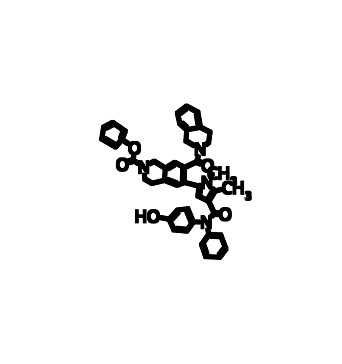 Cc1c(C(=O)N(c2ccccc2)c2ccc(O)cc2)cc(-c2cc3c(cc2C(=O)N2CCc4ccccc4C2)CN(C(=O)Oc2ccccc2)CC3)n1C